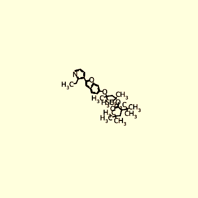 CCc1ncccc1-c1cc2ccc(OC(C)(S)CC(C)(C)OC(=O)C(CC(C)(C)C)C(C)(C)C)cc2o1